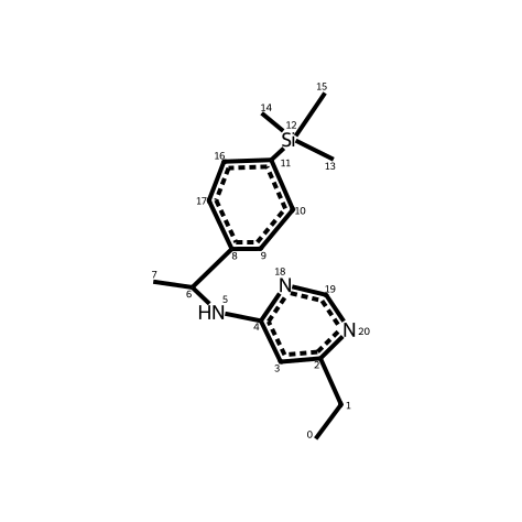 CCc1cc(NC(C)c2ccc([Si](C)(C)C)cc2)ncn1